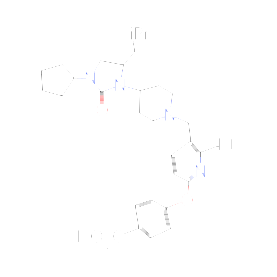 CCc1nc(Oc2ccc(C(=O)O)cc2)ccc1CN1CCC(N2C(=O)N(C3CCCC3)CC2CC(C)C)CC1